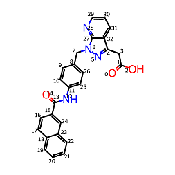 O=C(O)Cc1nn(Cc2ccc(NC(=O)c3ccc4ccccc4c3)cc2)c2ncccc12